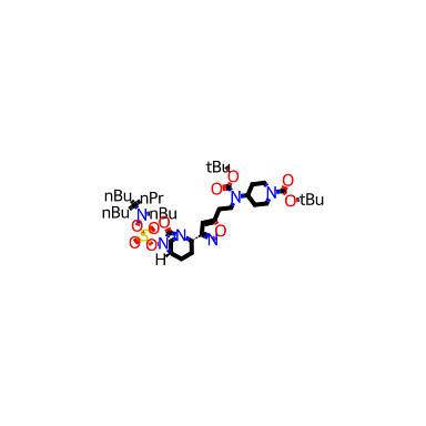 CCCCN(OS(=O)(=O)ON1C(=O)N2C[C@@H]1CC[C@H]2c1cc(CCN(C(=O)OC(C)(C)C)C2CCN(C(=O)OC(C)(C)C)CC2)on1)C(CCC)(CCCC)CCCC